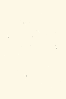 CCS(=O)(=O)N(c1sc(C(=O)c2cc(-c3ccccc3)no2)c(N)c1C#N)C1CCNC1